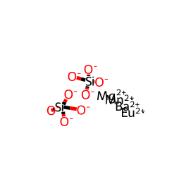 [Ba+2].[Eu+2].[Mg+2].[Mn+2].[O-][Si]([O-])([O-])[O-].[O-][Si]([O-])([O-])[O-]